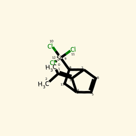 CC(C)=C1C2C=CC1C([Si](Cl)(Cl)Cl)C2